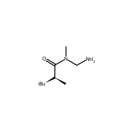 CC[C@H](C)[C@H](C)C(=O)N(C)CN